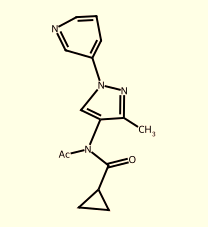 CC(=O)N(C(=O)C1CC1)c1cn(-c2cccnc2)nc1C